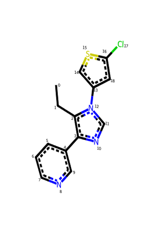 CCc1c(-c2cccnc2)ncn1-c1csc(Cl)c1